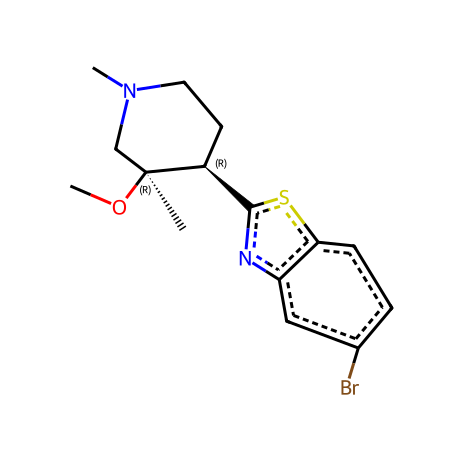 CO[C@@]1(C)CN(C)CC[C@H]1c1nc2cc(Br)ccc2s1